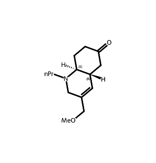 CCCN1CC(COC)=C[C@H]2CC(=O)CC[C@@H]21